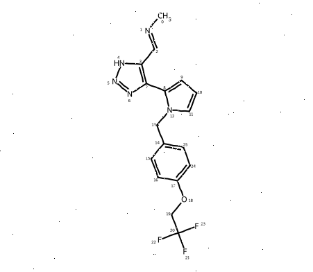 C/N=C/c1[nH]nnc1-c1cccn1Cc1ccc(OCC(F)(F)F)cc1